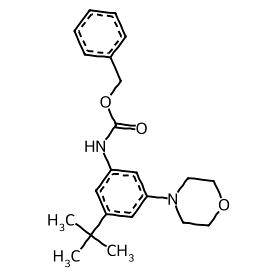 CC(C)(C)c1cc(NC(=O)OCc2ccccc2)cc(N2CCOCC2)c1